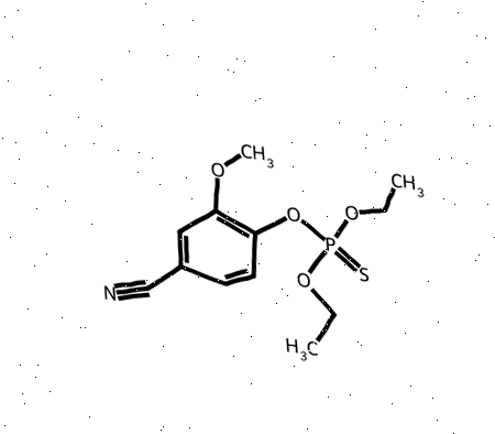 CCOP(=S)(OCC)Oc1ccc(C#N)cc1OC